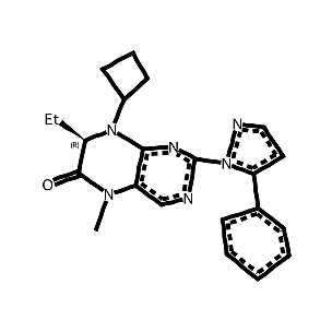 CC[C@@H]1C(=O)N(C)c2cnc(-n3nccc3-c3ccccc3)nc2N1C1CCC1